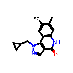 CC(=O)c1cc2c(cc1C)[nH]c(=O)c1cnn(CC3CC3)c12